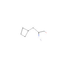 O=C(O)NC(CO)CC1CCC1